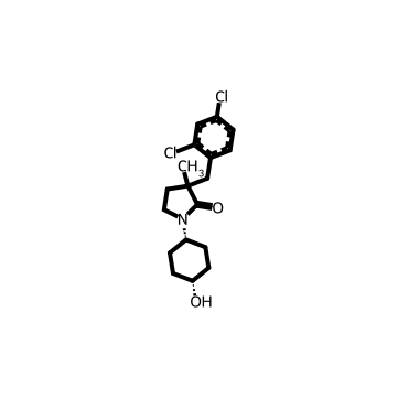 CC1(Cc2ccc(Cl)cc2Cl)CCN([C@H]2CC[C@@H](O)CC2)C1=O